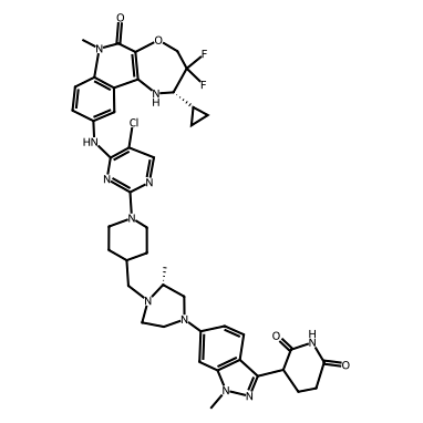 C[C@@H]1CN(c2ccc3c(C4CCC(=O)NC4=O)nn(C)c3c2)CCN1CC1CCN(c2ncc(Cl)c(Nc3ccc4c(c3)c3c(c(=O)n4C)OCC(F)(F)[C@H](C4CC4)N3)n2)CC1